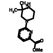 COC(=O)c1cccc(N2CCNC(C)(C)C2)n1